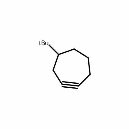 CC(C)(C)C1CC#CCCC1